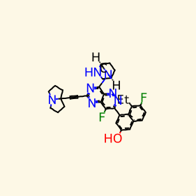 CCc1c(F)ccc2cc(O)cc(-c3nnc4c(N5C[C@@H]6CC[C@H]5CN6)nc(C#CC56CCCN5CCC6)nc4c3F)c12